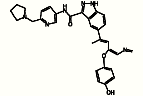 C=N/C=C(\C=C(/C)c1ccc2[nH]nc(C(=O)Nc3ccc(CN4CCCC4)nc3)c2c1)Oc1ccc(O)cc1